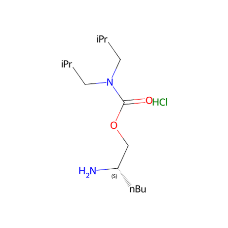 CCCC[C@H](N)COC(=O)N(CC(C)C)CC(C)C.Cl